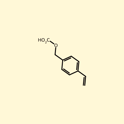 C=Cc1ccc(COC(=O)O)cc1